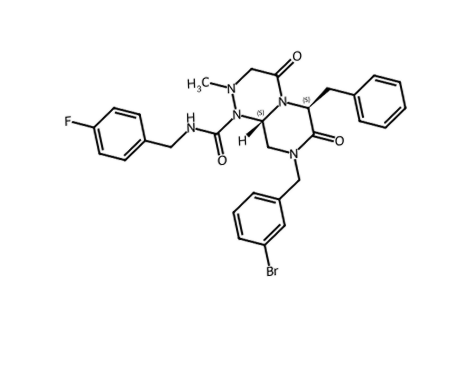 CN1CC(=O)N2[C@@H](Cc3ccccc3)C(=O)N(Cc3cccc(Br)c3)C[C@@H]2N1C(=O)NCc1ccc(F)cc1